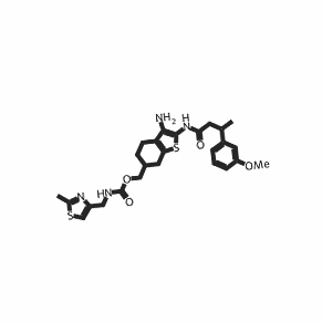 COc1cccc(C(C)CC(=O)Nc2sc3c(c2N)CCC(COC(=O)NCc2csc(C)n2)C3)c1